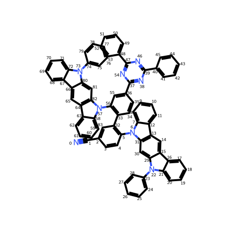 N#Cc1ccc(-n2c3ccccc3c3cc4c5ccccc5n(-c5ccccc5)c4cc32)c(-c2ccc(-c3nc(-c4ccccc4)nc(-c4ccccc4)n3)cc2-n2c3ccccc3c3cc4c5ccccc5n(-c5ccccc5)c4cc32)c1